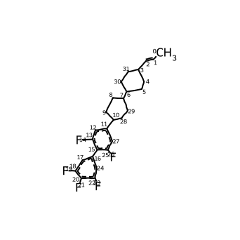 C/C=C/C1CCC(C2CCC(c3cc(F)c(-c4cc(F)c(F)c(F)c4)c(F)c3)CC2)CC1